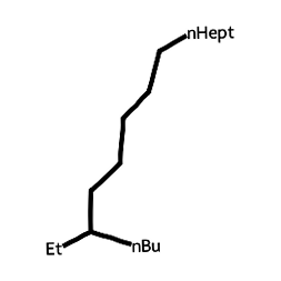 [CH2]CC(CCCC)CCCCCCCCCCCC